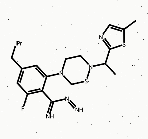 Cc1cnc(C(C)N2CCN(c3cc(CC(C)C)cc(F)c3C(=N)N=N)CS2)s1